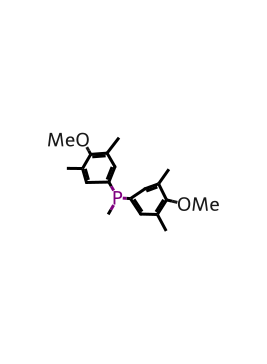 COc1c(C)cc(P(C)c2cc(C)c(OC)c(C)c2)cc1C